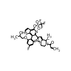 C=CC(=O)N1CCn2nc(-c3nc(OS(=O)(=O)C(F)(F)F)c4ccsc4c3-c3c(F)cc(F)cc3OCC(C)O)cc2C1C